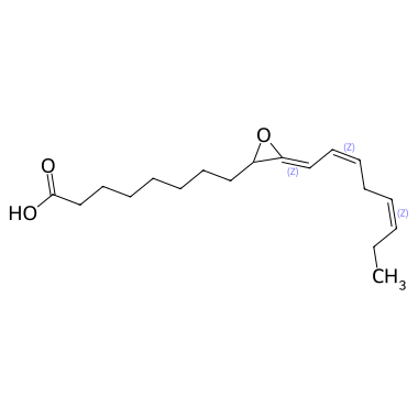 CC/C=C\C/C=C\C=C1/OC1CCCCCCCC(=O)O